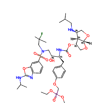 CCOP(=O)(COc1ccc(C[C@H](NC(=O)O[C@H]2CO[C@H]3OC[C@H](NCC(C)C)[C@H]32)[C@H](O)CN(CC(C)(C)F)S(=O)(=O)c2ccc3nc(NC(C)C)oc3c2)cc1)OCC